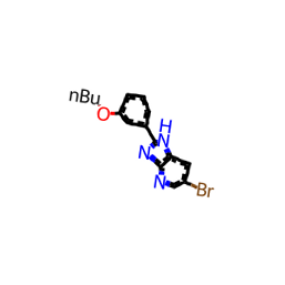 CCCCOc1cccc(-c2nc3ncc(Br)cc3[nH]2)c1